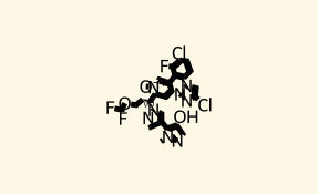 Cn1ncc(O)c1-c1cnn([C@H](CCOC(F)F)c2ccc(-c3c(-n4cc(Cl)nn4)ccc(Cl)c3F)c[n+]2[O-])c1